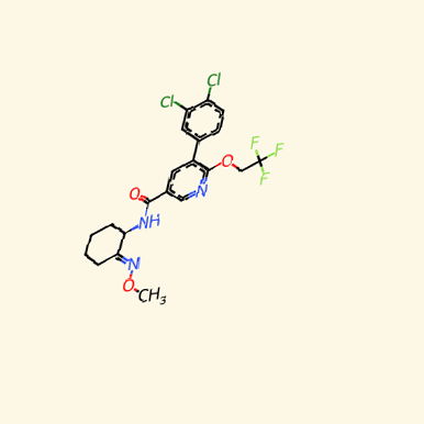 CO/N=C1\CCCC[C@H]1NC(=O)c1cnc(OCC(F)(F)F)c(-c2ccc(Cl)c(Cl)c2)c1